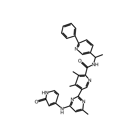 Cc1cc(Nc2cc[nH]c(=O)c2)nc(-c2cnc(C(=O)NC(C)c3ccc(-c4ccccc4)nc3)c(C)c2C)n1